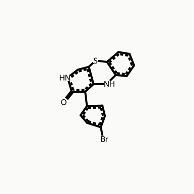 O=c1[nH]cc2c(c1-c1ccc(Br)cc1)Nc1ccccc1S2